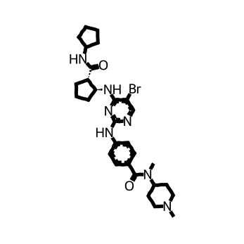 CN1CCC(N(C)C(=O)c2ccc(Nc3ncc(Br)c(N[C@@H]4CCC[C@@H]4C(=O)NC4CCCC4)n3)cc2)CC1